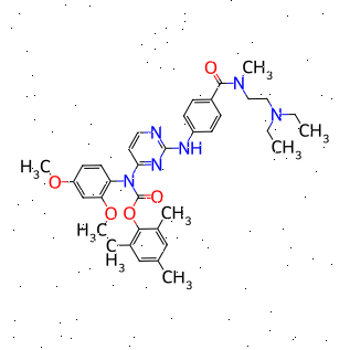 CCN(CC)CCN(C)C(=O)c1ccc(Nc2nccc(N(C(=O)Oc3c(C)cc(C)cc3C)c3ccc(OC)cc3OC)n2)cc1